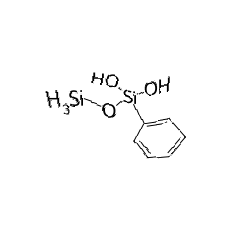 O[Si](O)(O[SiH3])c1ccccc1